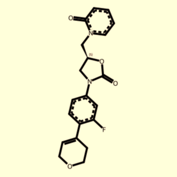 O=C1O[C@H](Cn2ccccc2=O)CN1c1ccc(C2=CCOCC2)c(F)c1